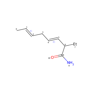 C/C=C/C/C=C/C(CC)C(N)=O